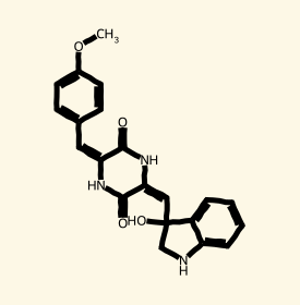 COc1ccc(C=c2[nH]c(=O)c(=CC3(O)CNc4ccccc43)[nH]c2=O)cc1